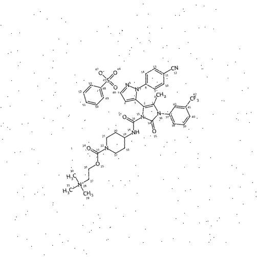 Cc1c(-c2ccnn2-c2ccc(C#N)cc2)n(C(=O)NC2CCN(C(=O)OCC[N+](C)(C)C)CC2)c(=O)n1-c1cccc(C(F)(F)F)c1.O=S(=O)([O-])c1ccccc1